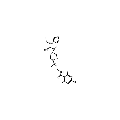 CCNC(=N)N(Cc1ccsc1)C1CCN([C@H](C)CCNC(=O)c2c(C)cc(Cl)nc2C)CC1